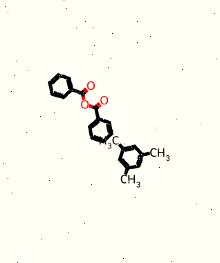 Cc1cc(C)cc(C)c1.O=C(OC(=O)c1ccccc1)c1ccccc1